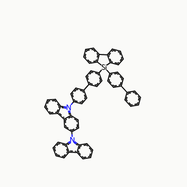 c1ccc(-c2ccc([Si]3(c4ccc(-c5ccc(-n6c7ccccc7c7cc(-n8c9ccccc9c9ccccc98)ccc76)cc5)cc4)c4ccccc4-c4ccccc43)cc2)cc1